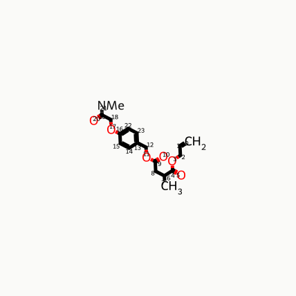 C=CCOC(=O)C(C)CC(=O)OCc1ccc(OCC(=O)NC)cc1